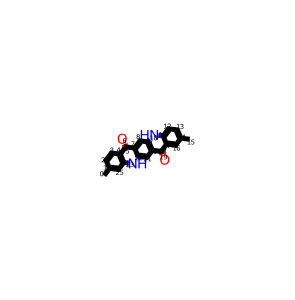 Cc1ccc2c(=O)c3cc4[nH]c5ccc(C)cc5c(=O)c4cc3[nH]c2c1